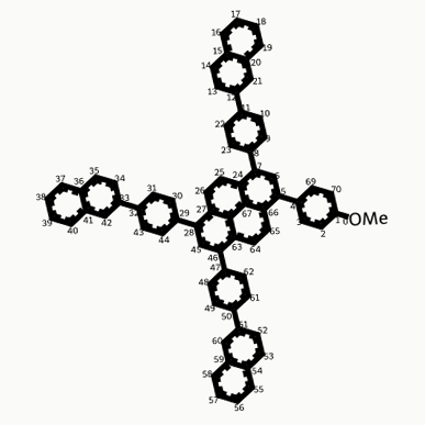 COc1ccc(-c2cc(-c3ccc(-c4ccc5ccccc5c4)cc3)c3ccc4c(-c5ccc(-c6ccc7ccccc7c6)cc5)cc(-c5ccc(-c6ccc7ccccc7c6)cc5)c5ccc2c3c54)cc1